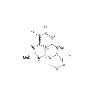 COc1nc(Cl)c(F)c2nc(SC)nc(N3CCC[C@@H](C)C3)c12